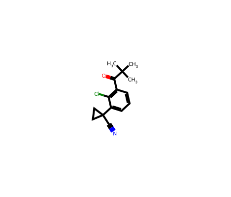 CC(C)(C)C(=O)c1cccc(C2(C#N)CC2)c1Cl